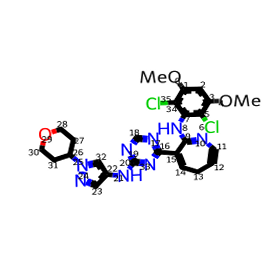 COc1cc(OC)c(Cl)c(NC2=NC#CCC=C2c2ncnc(Nc3cnn(C4CCOCC4)c3)n2)c1Cl